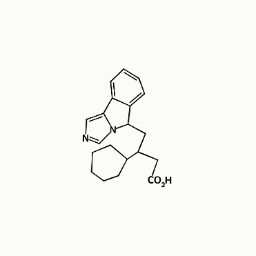 O=C(O)CC(CC1c2ccccc2-c2cncn21)C1CCCCC1